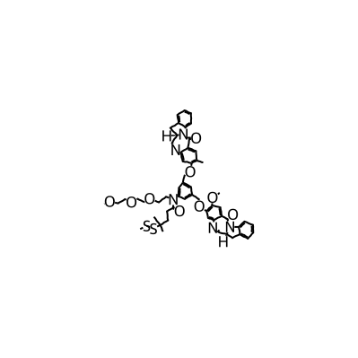 COCCOCCOCCN(C(=O)CCC(C)(C)SSC)c1cc(COc2cc3c(cc2C)C(=O)N2c4ccccc4C[C@H]2C=N3)cc(COc2cc3c(cc2OC)C(=O)N2c4ccccc4C[C@H]2C=N3)c1